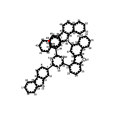 c1ccc(-c2nc(-c3ccc4c(c3)sc3ccccc34)nc(-c3cccc4oc5c6ccccc6c(-n6c7cc8ccccc8cc7c7ccc8ccccc8c76)cc5c34)n2)cc1